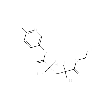 CCNC(=O)C(C)(C)CC(C)(C)C(=O)Nc1ccc(C)nc1